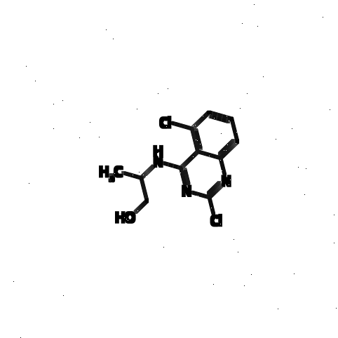 CC(CO)Nc1nc(Cl)nc2cccc(Cl)c12